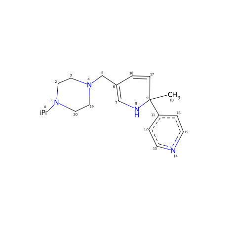 CC(C)N1CCN(CC2=CNC(C)(c3ccncc3)C=C2)CC1